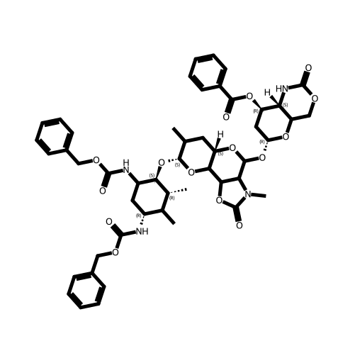 CC1C[C@@H]2OC(O[C@@H]3C[C@@H](OC(=O)c4ccccc4)[C@@H]4NC(=O)OCC4O3)C3C(OC(=O)N3C)C2O[C@@H]1O[C@@H]1C(NC(=O)OCc2ccccc2)C[C@@H](NC(=O)OCc2ccccc2)C(C)[C@H]1C